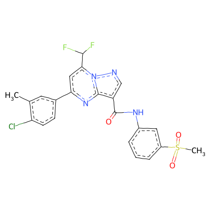 Cc1cc(-c2cc(C(F)F)n3ncc(C(=O)Nc4cccc(S(C)(=O)=O)c4)c3n2)ccc1Cl